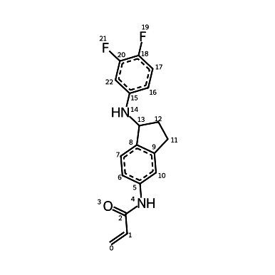 C=CC(=O)Nc1ccc2c(c1)CCC2Nc1ccc(F)c(F)c1